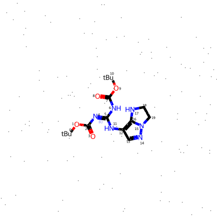 CC(C)(C)OC(=O)/N=C(/NC(=O)OC(C)(C)C)Nc1cnn2c1NCC2